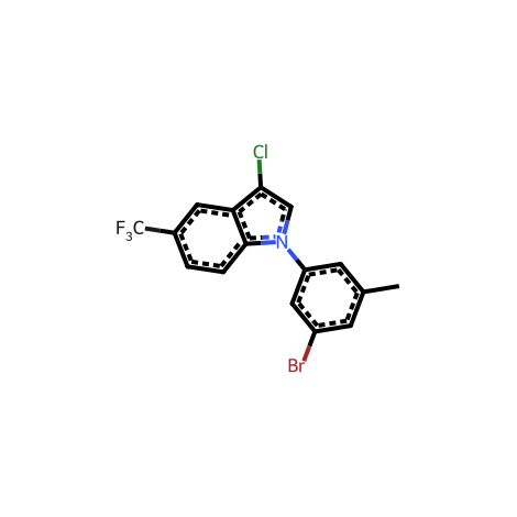 Cc1cc(Br)cc(-n2cc(Cl)c3cc(C(F)(F)F)ccc32)c1